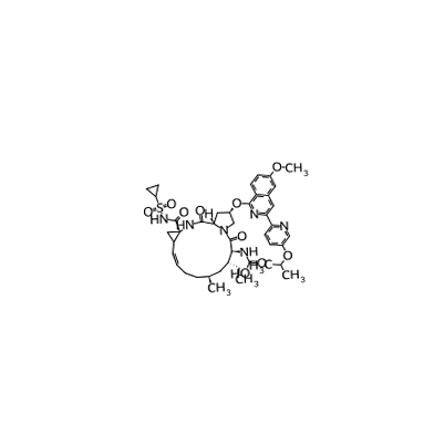 CC[C@@H]1C[C@@H](C)CC/C=C\C2CC2(C(=O)NS(=O)(=O)C2CC2)NC(=O)[C@@H]2C[C@@H](Oc3nc(-c4ccc(OC(C)C)cn4)cc4cc(OC)ccc34)CN2C(=O)[C@H]1NC(=O)O